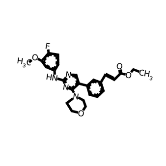 CCOC(=O)C=Cc1cccc(-c2cnc(Nc3ccc(F)c(OC)c3)nc2N2CCOCC2)c1